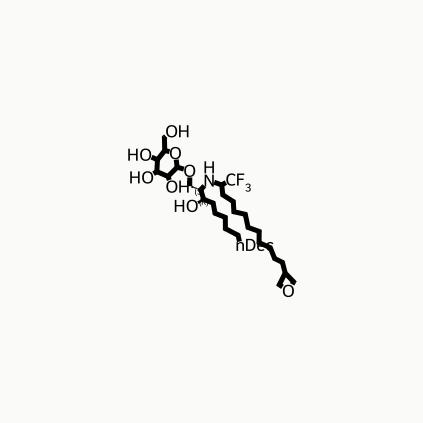 CCCCCCCCCCCCCCC[C@@H](O)[C@H](COC1OC(CO)C(O)C(O)C1O)NC(CCCCCCCCCCC1COC1)C(F)(F)F